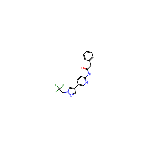 O=C(Cc1ccccc1)Nc1ccc(-c2cnn(CC(F)(F)F)c2)cn1